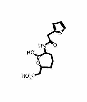 O=C(O)CC1CCCC(NC(=O)Cc2cccs2)B(O)O1